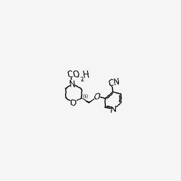 N#Cc1ccncc1OC[C@@H]1CN(C(=O)O)CCO1